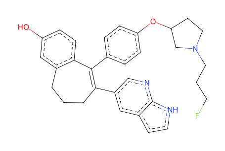 Oc1ccc2c(c1)CCCC(c1cnc3[nH]ccc3c1)=C2c1ccc(OC2CCN(CCCF)C2)cc1